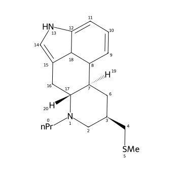 CCCN1C[C@H](CSC)C[C@@H]2C3C=CC=C4NC=C(C[C@H]21)C43